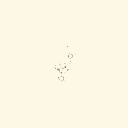 COc1cc(C(=O)NCC(O)(c2cc(C(C)(C)N)cc(-c3ccc(F)c(Cl)c3)n2)C(F)(F)F)ccc1OCC(F)(F)F